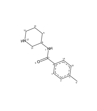 Cc1ccc(C(=O)NC2CCCNC2)cc1